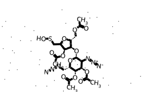 CC(=O)OC[C@H]1OC(CSO)[C@H](OC(C)=O)[C@@H]1O[C@H]1O[C@@H](CN=[N+]=[N-])[C@@H](OC(C)=O)[C@H](OC(C)=O)C1N=[N+]=[N-]